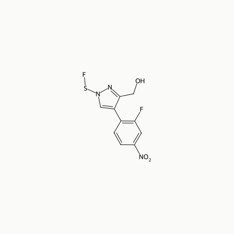 O=[N+]([O-])c1ccc(-c2cn(SF)nc2CO)c(F)c1